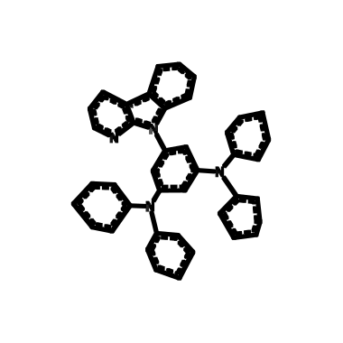 c1ccc(N(c2ccccc2)c2cc(N(c3ccccc3)c3ccccc3)cc(-n3c4ccccc4c4cccnc43)c2)cc1